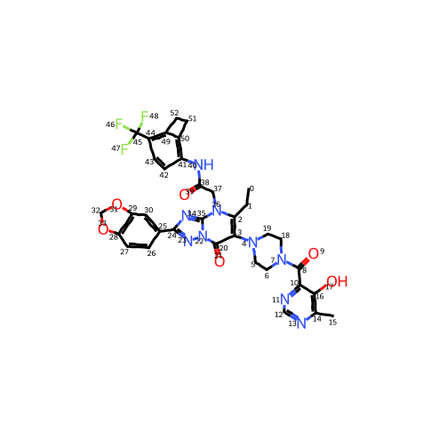 CCc1c(N2CCN(C(=O)c3ncnc(C)c3O)CC2)c(=O)n2nc(-c3ccc4c(c3)OCO4)nc2n1CC(=O)Nc1ccc(C(F)(F)F)c2c1CC2